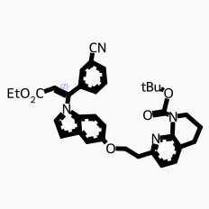 CCOC(=O)/C=C(/c1cccc(C#N)c1)n1ccc2cc(OCCc3ccc4c(n3)N(C(=O)OC(C)(C)C)CCC4)ccc21